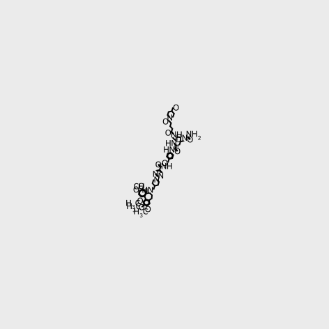 COc1cc2c(c(OC)c1OC)-c1ccc(OC)c(=O)cc1C(NCC1CCN(c3ncc(C(=O)NOCc4ccc(NC(=O)[C@H](CCCNC(N)=O)NC(=O)CNC(=O)CCCC(=O)N5CCC(C=O)CC5)cc4)cn3)CC1)CC2